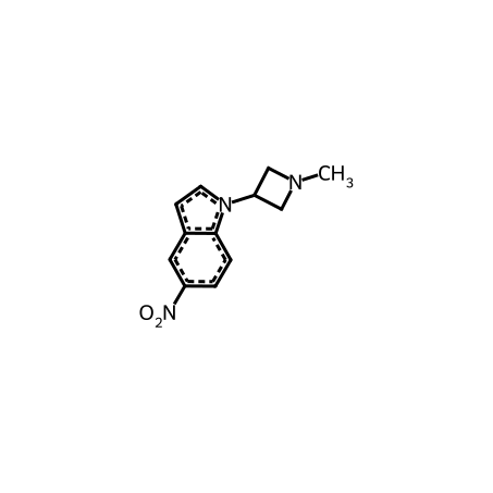 CN1CC(n2ccc3cc([N+](=O)[O-])ccc32)C1